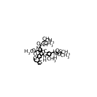 COC(=O)c1nc(C(=O)NCC(C)(C)C)ccc1-c1cc2c(cc1C(=O)Nc1c(C)cc(CNC(=O)OC(C)(C)C)cc1C)-c1sccc1CCO2